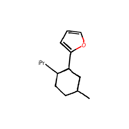 CC1CCC(C(C)C)[C](c2ccco2)C1